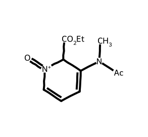 CCOC(=O)C1C(N(C)C(C)=O)=CC=C[N+]1=O